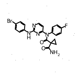 NC(=O)C1(C(=O)N(c2ccc(F)cc2)c2ccnc(Nc3ccc(Br)cc3)n2)CC1